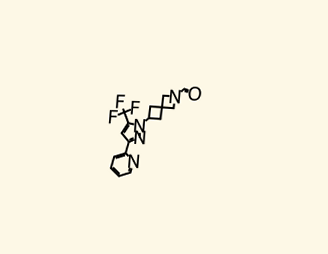 O=CN1CC2(CC(n3nc(-c4ccccn4)cc3C(F)(F)F)C2)C1